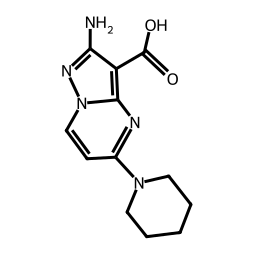 Nc1nn2ccc(N3CCCCC3)nc2c1C(=O)O